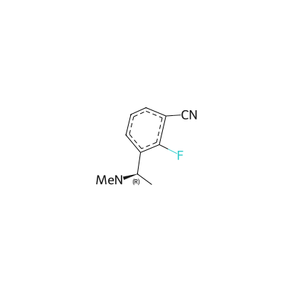 CN[C@H](C)c1cccc(C#N)c1F